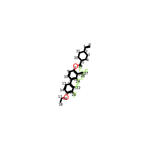 C=CC1CCC(COc2ccc(-c3ccc(OCC)c(F)c3F)c(F)c2C(F)(F)F)CC1